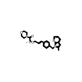 Cc1[c]c2cccnc2n1Cc1ccc(/C=C/CO[C@H](C)C(=O)N2CCOCC2)cc1